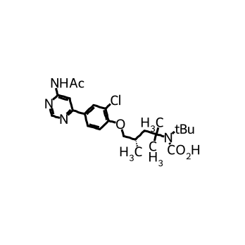 CC(=O)Nc1cc(-c2ccc(OC[C@@H](C)CC(C)(C)N(C(=O)O)C(C)(C)C)c(Cl)c2)ncn1